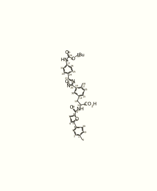 Cc1ccc(-c2ccc(C(=O)NC(Cc3ccc(C)c(-c4noc(-c5ccc(NC(=O)OC(C)(C)C)cc5)n4)c3)C(=O)O)o2)cc1